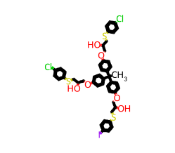 CC(c1ccc(OCC(O)CSc2ccc(Cl)cc2)cc1)(c1ccc(OCC(O)CSc2ccc(Cl)cc2)cc1)c1ccc(OCC(O)CSc2ccc(I)cc2)cc1